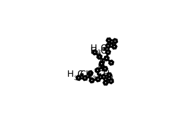 CC1(C)c2ccccc2-c2ccc(N(c3ccccc3)c3cccc(-c4ccc5c(c4)C(C)(Cc4cccc(-n6c7ccccc7c7cc(N(c8ccc(-c9ccccc9)cc8)c8cc(-c9ccccc9)cc(-c9ccc%10c(c9)C(C)(C)c9ccc%11c(c9-%10)-c9ccccc9C%119c%10ccccc%10-c%10ccccc%109)c8)ccc76)c4)c4ccc6c(c4-5)-c4ccccc4C64c5ccccc5-c5ccccc54)c3)cc21